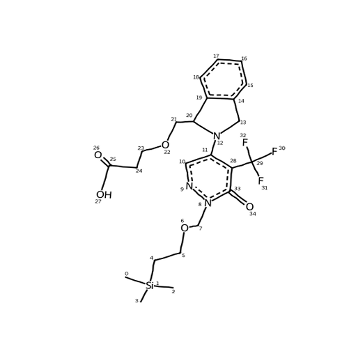 C[Si](C)(C)CCOCn1ncc(N2Cc3ccccc3C2COCCC(=O)O)c(C(F)(F)F)c1=O